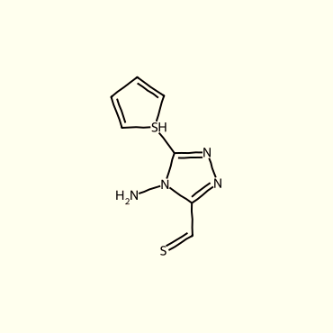 Nn1c(C=S)nnc1[SH]1C=CC=C1